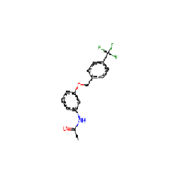 CC(=O)Nc1cccc(OCc2ccc(C(F)(F)F)cc2)c1